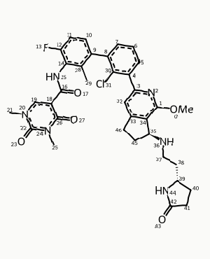 COc1nc(-c2cccc(-c3ccc(F)c(NC(=O)c4cn(C)c(=O)n(C)c4=O)c3C)c2Cl)cc2c1[C@@H](NCC[C@@H]1CCC(=O)N1)CC2